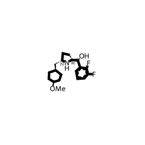 CO[C@H]1CC[C@@H](C[C@@H]2CC[C@H]([C@H](O)c3cccc(F)c3F)N2)CC1